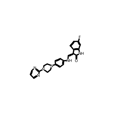 O=C1Nc2cc(F)ccc2C1=CNc1ccc(N2CCN(c3ncccn3)CC2)cc1